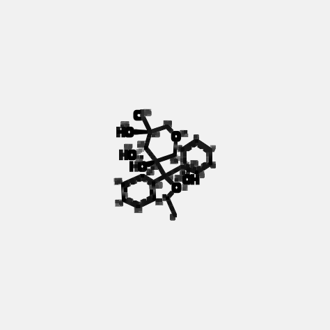 CCOC(c1ccccc1)(c1ccccc1)[C@@]1(O)[C@@H](CO)OC[C@@](O)(Cl)[C@H]1O